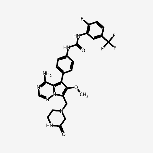 COc1c(-c2ccc(NC(=O)Nc3cc(C(F)(F)F)ccc3F)cc2)c2c(N)ncnn2c1CN1CCNC(=O)C1